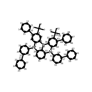 CC(C)(C)c1cc2c(cc1-c1ccccc1)N(c1cccc(-c3ccccc3)c1)c1cccc3c1B2c1cc(C(C)(C)C)c(-c2ccccc2)cc1N3c1cccc(-c2ccccc2)c1